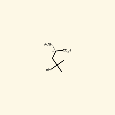 CCCC(C)(C)C[C@H](NC(C)=O)C(=O)O